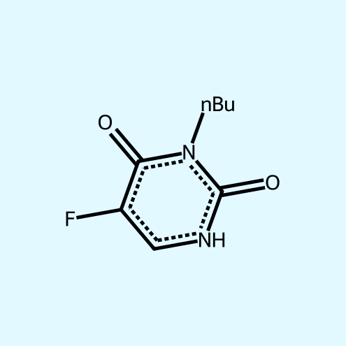 CCCCn1c(=O)[nH]cc(F)c1=O